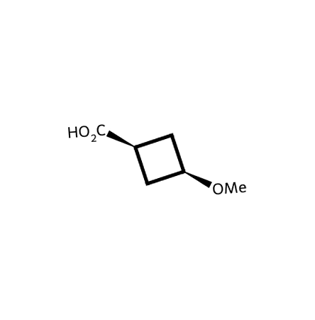 CO[C@H]1C[C@@H](C(=O)O)C1